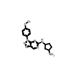 CCOc1ccc(-n2nnc3cnc(NC4CCC(N)C4)nc32)cc1